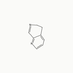 C1=NCCc2cccnc21